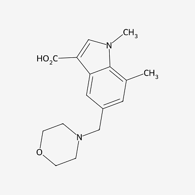 Cc1cc(CN2CCOCC2)cc2c(C(=O)O)cn(C)c12